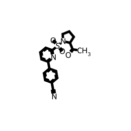 CC(=O)C1CCCN1S(=O)(=O)c1cccc(-c2ccc(C#N)cc2)n1